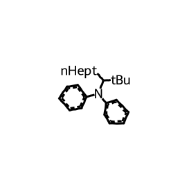 CCCCCCCC(N(c1ccccc1)c1ccccc1)C(C)(C)C